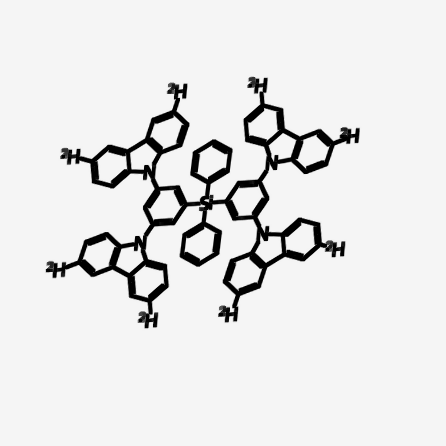 [2H]c1ccc2c(c1)c1cc([2H])ccc1n2-c1cc(-n2c3ccc([2H])cc3c3cc([2H])ccc32)cc([Si](c2ccccc2)(c2ccccc2)c2cc(-n3c4ccc([2H])cc4c4cc([2H])ccc43)cc(-n3c4ccc([2H])cc4c4cc([2H])ccc43)c2)c1